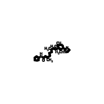 CC(C=CC1=C(C)C(c2ncc[nH]2)CCC1(C)C)=CC=CC(C)=CC(=O)Nc1ccccc1